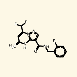 C=C1C=C(C(F)F)n2ncc(C(=O)NCc3ccccc3F)c2N1